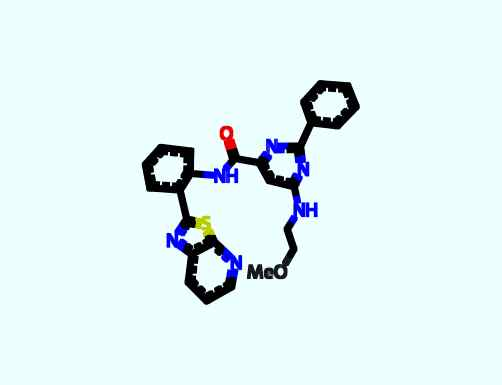 COCCNc1cc(C(=O)Nc2ccccc2-c2nc3cccnc3s2)nc(-c2ccccc2)n1